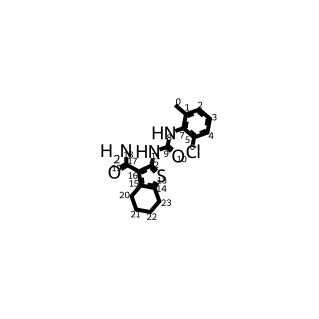 Cc1cccc(Cl)c1NC(=O)Nc1sc2c(c1C(N)=O)CCCC2